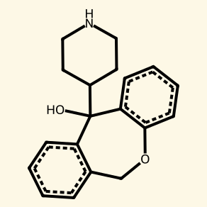 OC1(C2CCNCC2)c2ccccc2COc2ccccc21